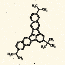 CC(C)c1ccc2cc3c(cc2c1)c1cc(C(C)(C)C)cc2c4cc5cc(C(C)C)ccc5cc4n3c12